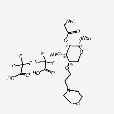 CCCCCCCCC[C@@H]1OC[C@@H](OCCN2CCOCC2)[C@H](OC)[C@@H]1OC(=O)CN.O=C(O)C(F)(F)F.O=C(O)C(F)(F)F